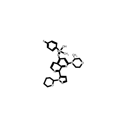 C[C@@H]1COCCN1c1cc(N=[SH](C)(O)c2ccc(F)cc2)c2ccnc(-c3ccnn3C3CCCCO3)c2n1